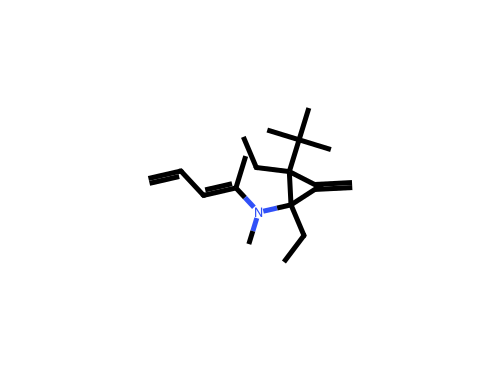 C=C/C=C(\C)N(C)C1(CC)C(=C)C1(CC)C(C)(C)C